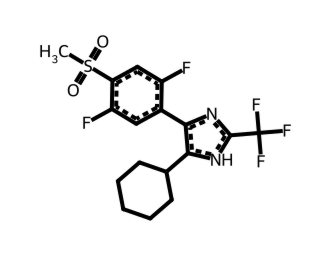 CS(=O)(=O)c1cc(F)c(-c2nc(C(F)(F)F)[nH]c2C2CCCCC2)cc1F